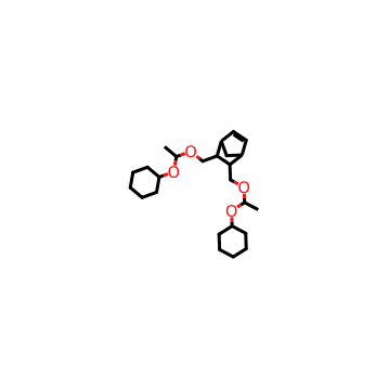 CC(OCC1C2C=CC(C2)C1COC(C)OC1CCCCC1)OC1CCCCC1